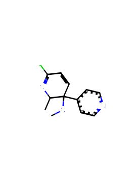 CNC1(c2ccncc2)C=CC(Cl)=NC1C